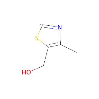 Cc1n[c]sc1CO